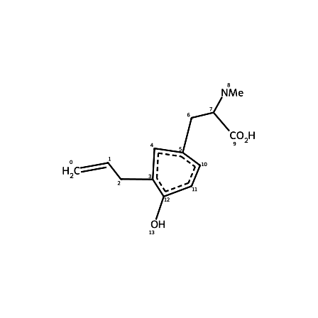 C=CCc1cc(CC(NC)C(=O)O)ccc1O